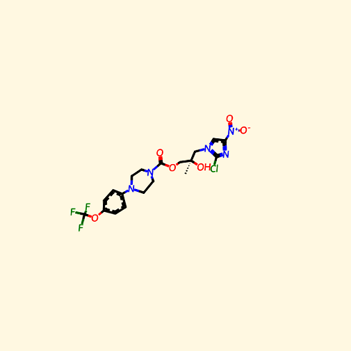 C[C@](O)(COC(=O)N1CCN(c2ccc(OC(F)(F)F)cc2)CC1)Cn1cc([N+](=O)[O-])nc1Cl